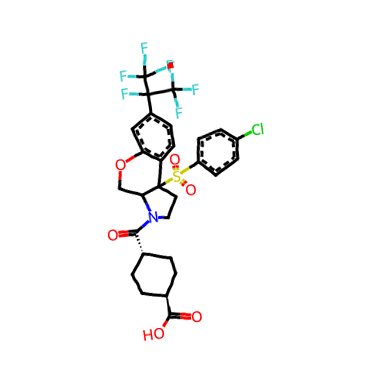 O=C(O)[C@H]1CC[C@H](C(=O)N2CCC3(S(=O)(=O)c4ccc(Cl)cc4)c4ccc(C(F)(C(F)(F)F)C(F)(F)F)cc4OCC23)CC1